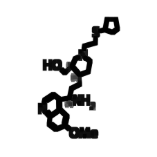 COc1ccc2nccc([C@@H](N)CC[C@@H]3CCN(CCSC4CCCC4)C[C@@H]3CO)c2c1